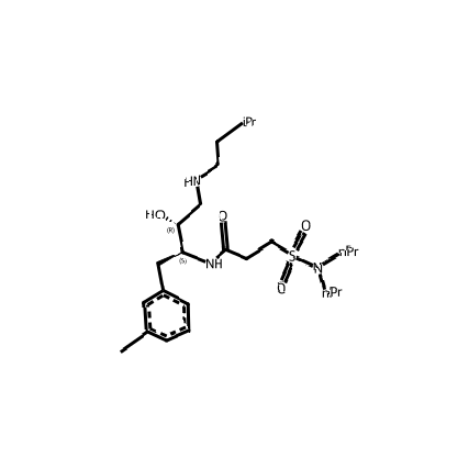 CCCN(CCC)S(=O)(=O)CCC(=O)N[C@@H](Cc1cccc(C)c1)[C@H](O)CNCCC(C)C